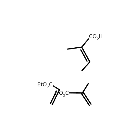 C=C(C)C(=O)O.C=CC(=O)OCC.CC=C(C)C(=O)O